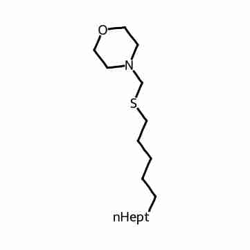 CCCCCCCCCCCCSCN1CCOCC1